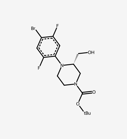 CC(C)(C)OC(=O)N1CCN(c2cc(F)c(Br)cc2F)[C@H](CO)C1